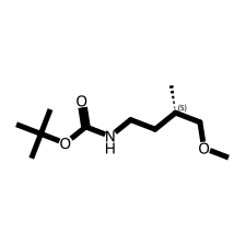 COC[C@@H](C)CCNC(=O)OC(C)(C)C